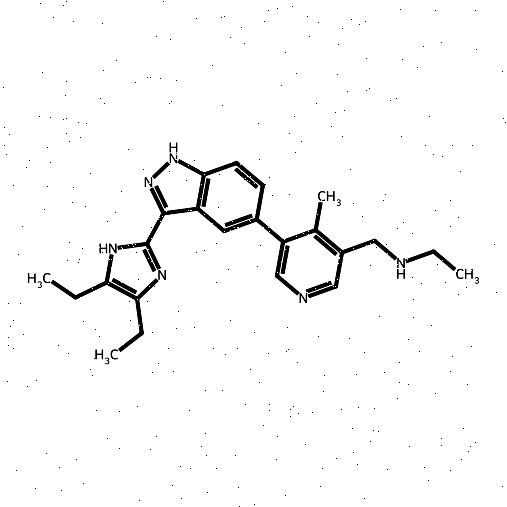 CCNCc1cncc(-c2ccc3[nH]nc(-c4nc(CC)c(CC)[nH]4)c3c2)c1C